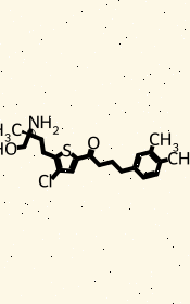 Cc1ccc(CCCC(=O)c2cc(Cl)c(CC[C@@](C)(N)CO)s2)cc1C